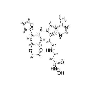 Nc1ncnc2c1nc(Sc1cc3c(cc1-c1ccco1)OCCO3)n2CCNCCC(=O)NO